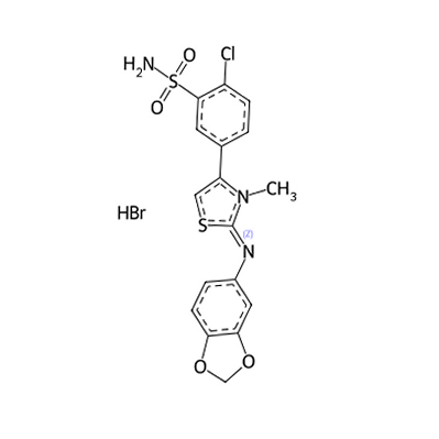 Br.Cn1c(-c2ccc(Cl)c(S(N)(=O)=O)c2)cs/c1=N\c1ccc2c(c1)OCO2